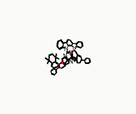 CC1(C)CCC(C)(C)c2c(-c3ccc(-c4cccc(-n5c6ccccc6c6ccc7c8ccccc8n(-c8nc(-c9ccc(-c%10ccccc%10)cc9)nc(-c9ccc(-c%10ccccc%10)cc9)n8)c7c65)c4)cc3)cccc21